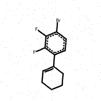 Fc1c(Br)ccc(C2=CCCCC2)c1F